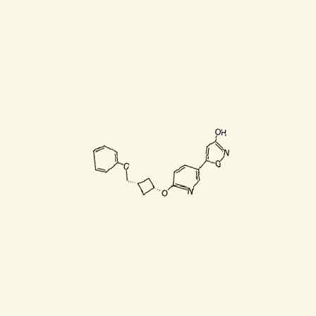 Oc1cc(-c2ccc(O[C@H]3C[C@@H](COc4ccccc4)C3)nc2)on1